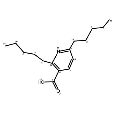 CCCCCc1ccc(C(=O)O)c(CCCCC)n1